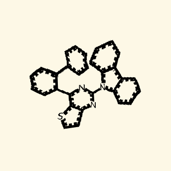 c1ccc(-c2ccccc2-c2nc(-n3c4ccccc4c4ccccc43)nc3ccsc23)cc1